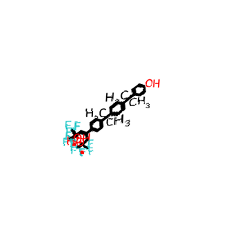 CC(C)(c1ccc(O)cc1)c1ccc(C(C)(C)c2ccc(/C(=C/C(O)(C(F)(F)F)C(F)(F)F)CC(O)(C(F)(F)F)C(F)(F)F)cc2)cc1